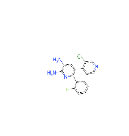 Nc1cc(-c2ccncc2Cl)c(-c2ccccc2F)nc1N